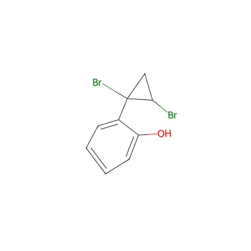 Oc1ccccc1C1(Br)CC1Br